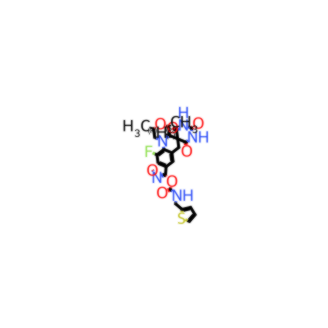 C[C@@H]1CN2c3c(cc4c(OC(=O)NCc5cccs5)noc4c3F)CC3(C(=O)NC(=O)NC3=O)[C@H]2[C@H](C)O1